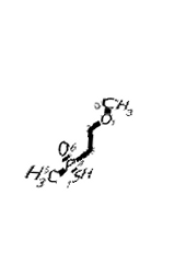 COCCP(C)(=O)S